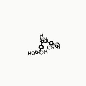 CN1CCCN(c2ccc(-c3cnc4[nH]cc(-c5ccc(C(O)N6CC(O)C6)cc5)c4c3)cc2C#N)CC1